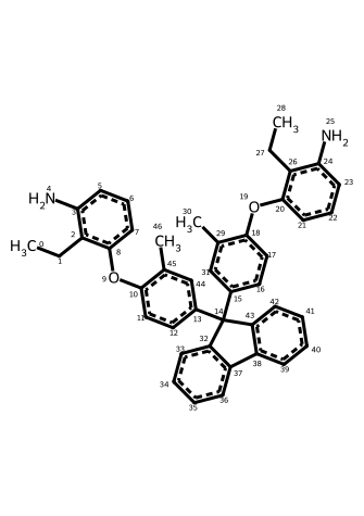 CCc1c(N)cccc1Oc1ccc(C2(c3ccc(Oc4cccc(N)c4CC)c(C)c3)c3ccccc3-c3ccccc32)cc1C